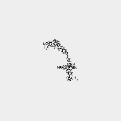 Cc1ncoc1-c1ccc(CN(C(=O)C(NC(=O)COCCCCOc2ccc(-c3ccc(N4C(=S)N(c5ccc(C#N)c(C(F)(F)F)c5)C(=O)C45CCC5)cc3)cc2)C(C)(C)C)C(=O)[C@@H]2C[C@@H](O)CN2)cc1